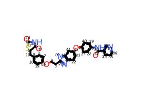 Cn1c(CCOc2ccc(CC3SC(=O)NC3=O)cc2)nc2ccc(Oc3ccc(NC(=O)c4cccnc4)cc3)cc21